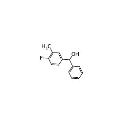 Cc1cc(C(O)c2ccccc2)ccc1F